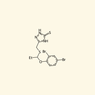 CCC(Oc1ccc(Br)cc1Br)SCc1n[nH]c(=S)[nH]1